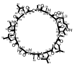 CC(C)C[C@@H]1C(=O)N(C)[C@H](C(C)C)C(=O)N(C)[C@H]([C@H](O)[C@H](C)CCO)C(=O)N[C@H](C)C(=O)N(C)CC(=O)N(C)[C@@H](CC(C)C)C(=O)N[C@H](C(C)C)C(=O)N(C)[C@H](CC(C)C)C(=O)N[C@H](C)C(=O)N[C@H](C)C(=O)N(C)[C@H](CC(C)C)C(=O)N1C